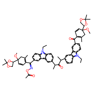 CCn1c2ccc(C(=O)C3=C(C)CC(OC)(C4COC(C)(C)O4)C=C3)cc2c2cc(C(C)C(=O)C(C)c3ccc4c(c3)c3cc(C(=NOC(C)=O)C5=C(C)CC(OC)(C6COC(C)(C)O6)C=C5)ccc3n4CC)ccc21